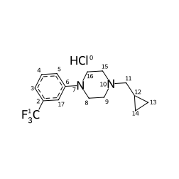 Cl.FC(F)(F)c1cccc(N2CCN(CC3CC3)CC2)c1